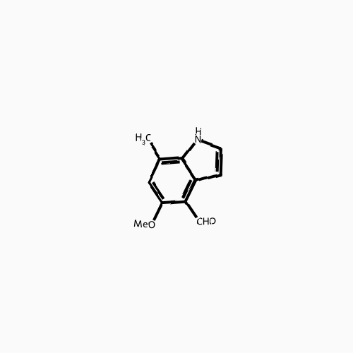 COc1cc(C)c2[nH]ccc2c1C=O